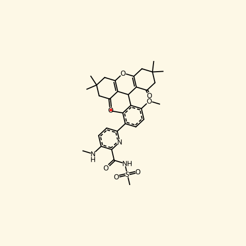 CNc1ccc(-c2ccc(OC)c(C3C4=C(CC(C)(C)CC4=O)OC4=C3C(=O)CC(C)(C)C4)c2C)nc1C(=O)NS(C)(=O)=O